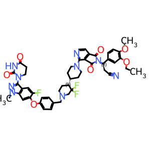 CCOc1cc([C@@H](CC#N)N2C(=O)c3ccnc(N4CCC([C@H]5CCN(Cc6ccc(Oc7cc8c(cc7F)c(N7CCC(=O)NC7=O)nn8C)cc6)CC5(F)F)CC4)c3C2=O)ccc1OC